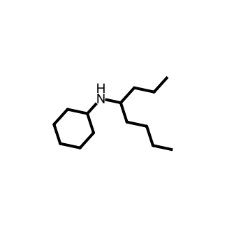 CCCCC(CCC)NC1CCCCC1